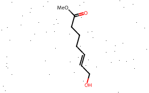 COC(=O)CCCC=CCO